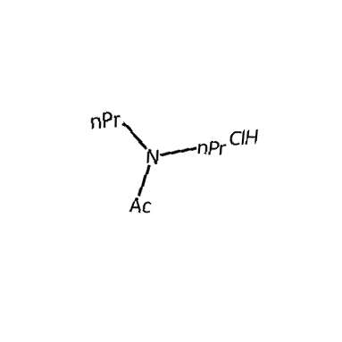 CCCN(CCC)C(C)=O.Cl